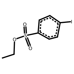 CCOS(=O)(=O)c1ccc(I)cc1